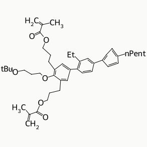 C=C(C)C(=O)OCCCc1cc(-c2ccc(-c3ccc(CCCCC)cc3)cc2CC)cc(CCCOC(=O)C(=C)C)c1OCCCOC(C)(C)C